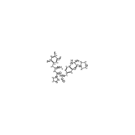 CC(C)C(Nc1ccc(CNC(=O)[C@@H]2SCCN2C(=O)CC(N)Cc2cc(F)c(F)cc2F)cc1)C(=O)N1CCOCC1